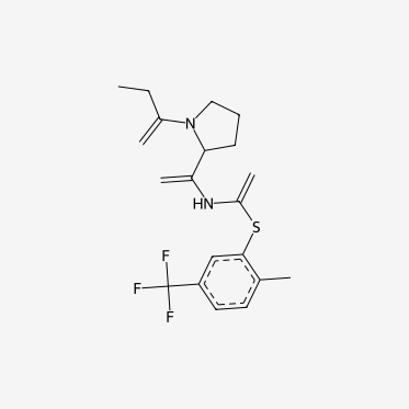 C=C(NC(=C)C1CCCN1C(=C)CC)Sc1cc(C(F)(F)F)ccc1C